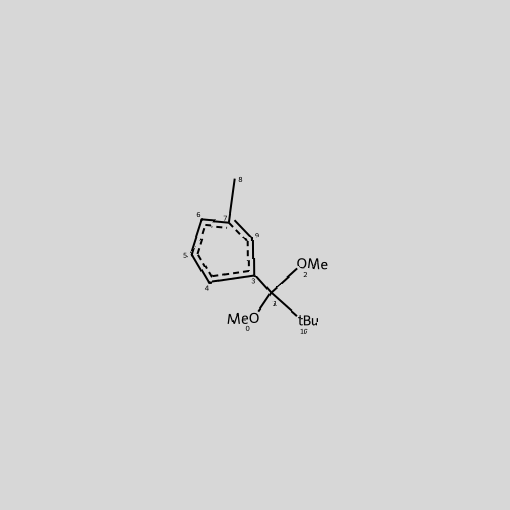 COC(OC)(c1cccc(C)c1)C(C)(C)C